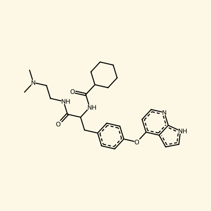 CN(C)CCNC(=O)C(Cc1ccc(Oc2ccnc3[nH]ccc23)cc1)NC(=O)C1CCCCC1